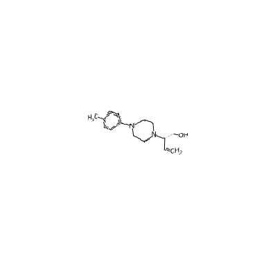 C=C[C@@H](CO)N1CCN(c2ccc(C)cc2)CC1